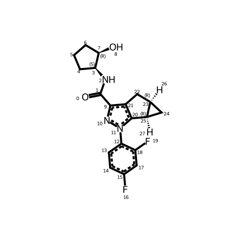 O=C(N[C@H]1CCC[C@H]1O)c1nn(-c2ccc(F)cc2F)c2c1C[C@H]1C[C@@H]21